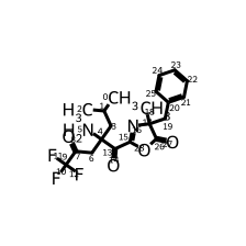 CC(C)CC(N)(CC(=O)C(F)(F)F)C(=O)C1=NC(C)(Cc2ccccc2)C(=O)O1